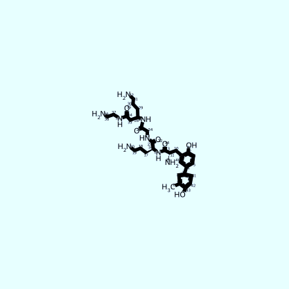 Cc1cc(-c2ccc(O)c(C[C@H](N)C(=O)N[C@@H](CCCN)C(=O)NCC(=O)NC(CCCN)CC(=O)NCCN)c2)ccc1O